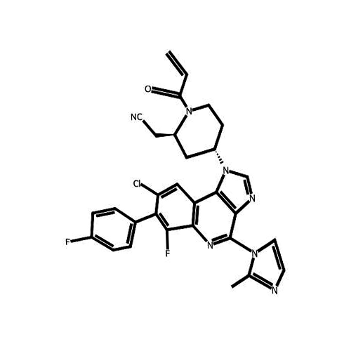 C=CC(=O)N1CC[C@H](n2cnc3c(-n4ccnc4C)nc4c(F)c(-c5ccc(F)cc5)c(Cl)cc4c32)C[C@H]1CC#N